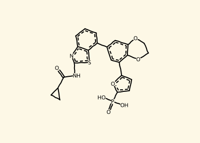 O=C(Nc1nc2cccc(-c3cc4c(c(-c5ccc(P(=O)(O)O)o5)c3)OCCO4)c2s1)C1CC1